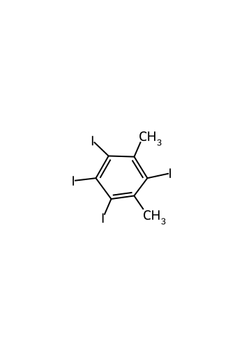 Cc1c(I)c(C)c(I)c(I)c1I